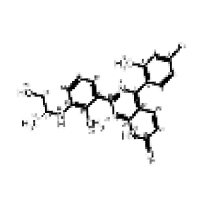 Cc1cc(F)ccc1-c1nc(-c2cccc(N[C@H](C)CO)c2C)nc2[nH]c(=O)ccc12